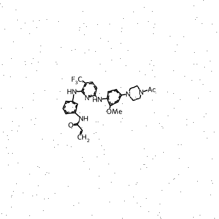 C=CC(=O)Nc1cccc(Nc2nc(Nc3ccc(N4CCN(C(C)=O)CC4)cc3OC)ccc2C(F)(F)F)c1